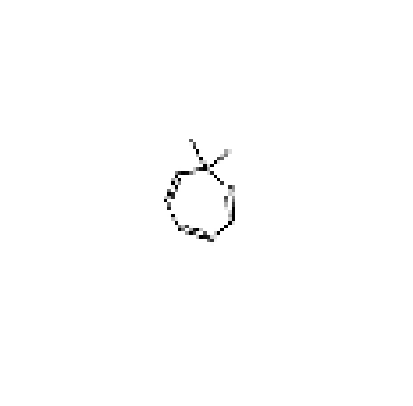 CC1(C)C=CC=NC=N1